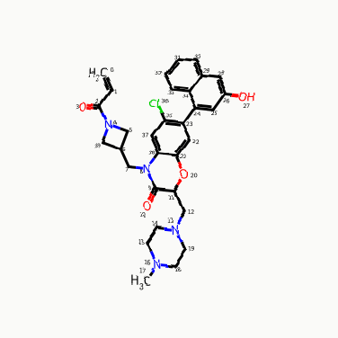 C=CC(=O)N1CC(CN2C(=O)C(CN3CCN(C)CC3)Oc3cc(-c4cc(O)cc5ccccc45)c(Cl)cc32)C1